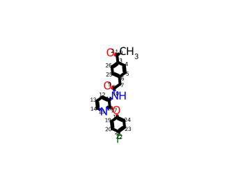 CC(=O)c1ccc(CC(=O)Nc2cccnc2Oc2ccc(F)cc2)cc1